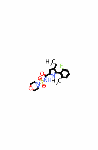 CCC1C=C(C(=O)NS(=O)(=O)N2CCOCC2)N=C1c1c(C)cccc1F